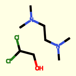 CN(C)CCN(C)C.OCC(Cl)Cl